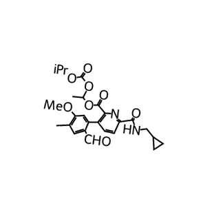 COc1cc(-c2ccc(C(=O)NCC3CC3)nc2C(=O)OC(C)OC(=O)OC(C)C)c(C=O)cc1C